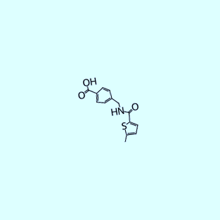 Cc1ccc(C(=O)NCc2ccc(C(=O)O)cc2)s1